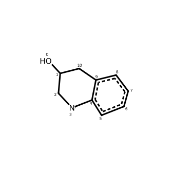 OC1C[N]c2ccccc2C1